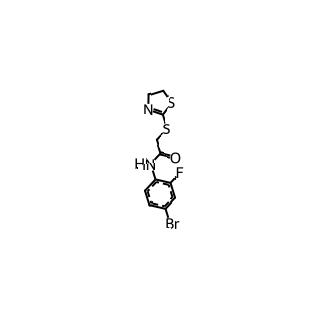 O=C(CSC1=NCCS1)Nc1ccc(Br)cc1F